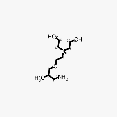 CC(CN)COCCN(CCO)CCO